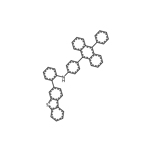 c1ccc(-c2c3ccccc3c(-c3ccc(Nc4ccccc4-c4ccc5c(c4)sc4ccccc45)cc3)c3ccccc23)cc1